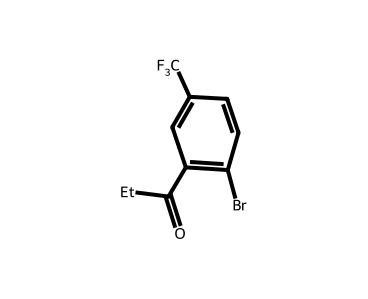 CCC(=O)c1cc(C(F)(F)F)ccc1Br